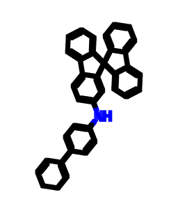 C1=CC(c2ccc(Nc3ccc4c(c3)C3(c5ccccc5-c5ccccc53)c3ccccc3-4)cc2)=CCC1